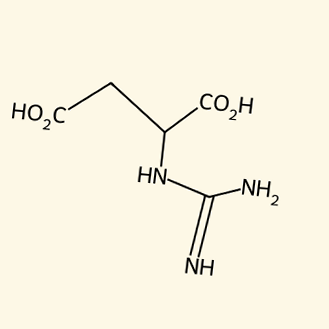 N=C(N)NC(CC(=O)O)C(=O)O